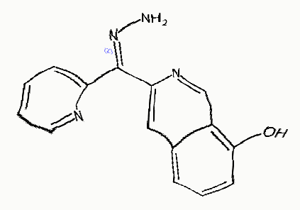 N/N=C(/c1ccccn1)c1cc2cccc(O)c2cn1